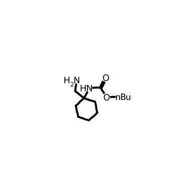 CCCCOC(=O)NC1(CN)CCCCC1